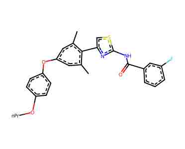 CCCOc1ccc(Oc2cc(C)c(-c3csc(NC(=O)c4cccc(F)c4)n3)c(C)c2)cc1